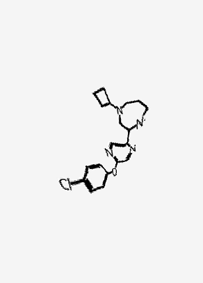 Clc1ccc(Oc2cnc(C3CN(C4CCC4)CCC[N]3)cn2)cc1